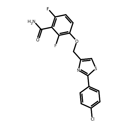 NC(=O)c1c(F)ccc(OCc2csc(-c3ccc(Cl)cc3)n2)c1F